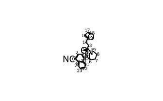 N#Cc1ccc(N2CCCCN2C(=O)CCc2ccco2)c2ccccc12